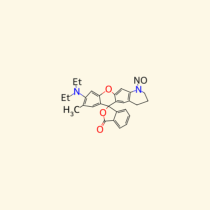 CCN(CC)c1cc2c(cc1C)C1(OC(=O)c3ccccc31)c1cc3c(cc1O2)N(N=O)CCC3